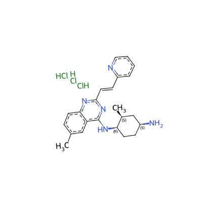 Cc1ccc2nc(C=Cc3ccccn3)nc(N[C@@H]3CC[C@H](N)C[C@@H]3C)c2c1.Cl.Cl.Cl